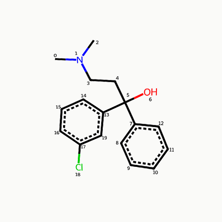 CN(C)CCC(O)(c1ccccc1)c1cccc(Cl)c1